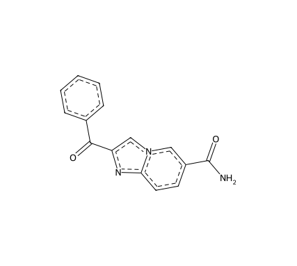 NC(=O)c1ccc2nc(C(=O)c3ccccc3)cn2c1